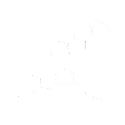 O=C(Nc1cccc(-c2nc(Nc3cccc(C(F)(F)F)c3)nc(OCC(F)(F)F)n2)c1)c1ccc(F)cc1F